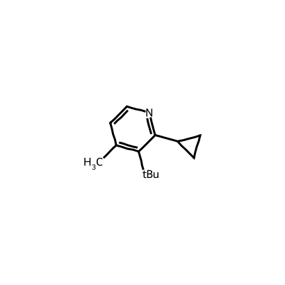 Cc1ccnc(C2CC2)c1C(C)(C)C